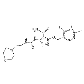 Cc1ccc(COc2nsc(NC(=O)NCCN3CCOCC3)c2C(N)=O)c(F)c1F